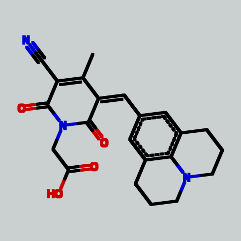 CC1=C(C#N)C(=O)N(CC(=O)O)C(=O)/C1=C\c1cc2c3c(c1)CCCN3CCC2